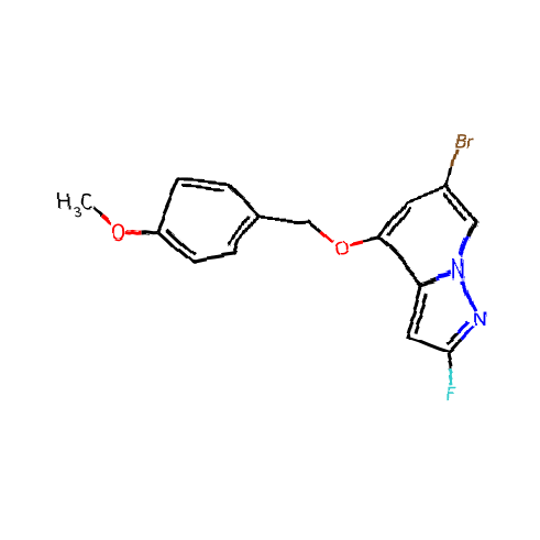 COc1ccc(COc2cc(Br)cn3nc(F)cc23)cc1